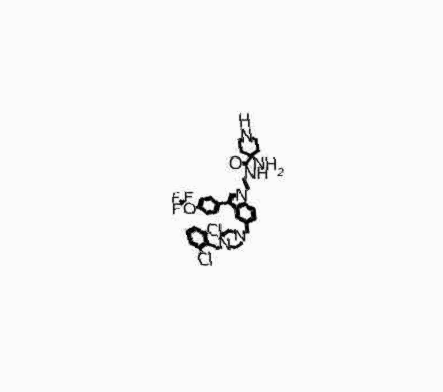 NC1(C(=O)NCCn2cc(-c3ccc(OC(F)(F)F)cc3)c3cc(CN4CCN(Cc5c(Cl)cccc5Cl)CC4)ccc32)CCNCC1